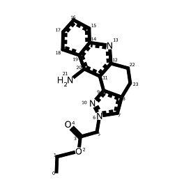 CCOC(=O)Cn1cc2c(n1)-c1c(nc3ccccc3c1N)CC2